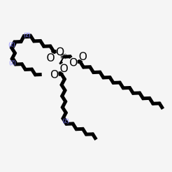 CCCCC/C=C\C/C=C\C/C=C\CCCCC(=O)O[C@H](COC(=O)CCCCCCC/C=C\CCCCCC)COC(=O)CCCCCCCCCCCCCCCCC